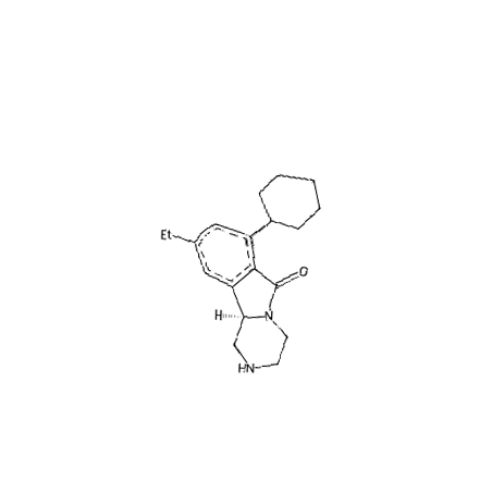 CCc1cc(C2CCCCC2)c2c(c1)[C@@H]1CNCCN1C2=O